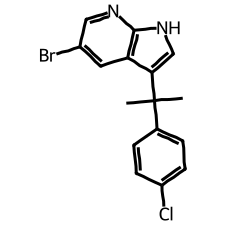 CC(C)(c1ccc(Cl)cc1)c1c[nH]c2ncc(Br)cc12